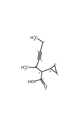 CCC#CC(C)C(C(=O)O)C1CC1